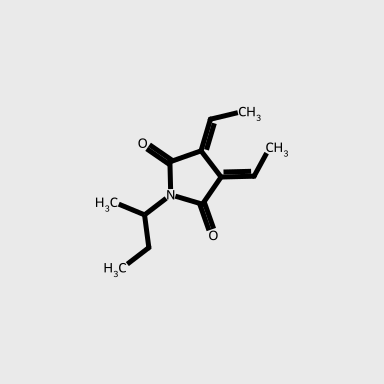 C/C=C1/C(=O)N(C(C)CC)C(=O)/C1=C/C